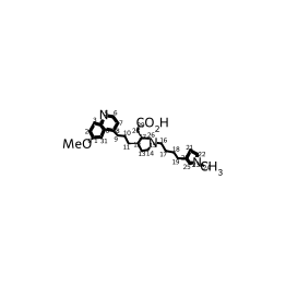 COc1ccc2nccc(CCC[C@@H]3CCN(CCCCc4ccn(C)c4)C[C@@H]3CC(=O)O)c2c1